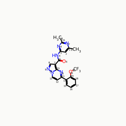 Cc1cc(NC(=O)c2cnn3ccc(-c4ccccc4OC(F)(F)F)nc23)nc(C)n1